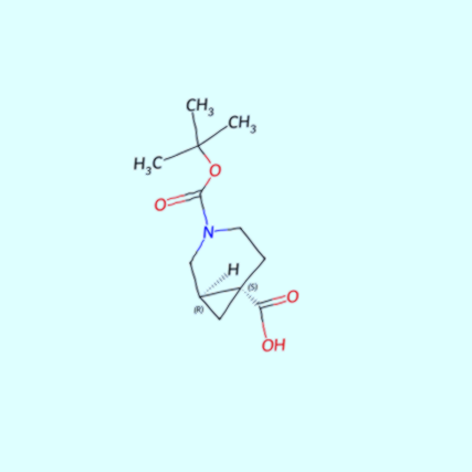 CC(C)(C)OC(=O)N1CC[C@@]2(C(=O)O)C[C@H]2C1